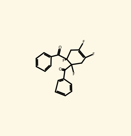 O=C(c1ccccc1)C1(F)CC(F)=C(F)CC1(F)C(=O)c1ccccc1